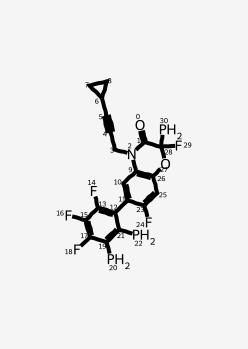 O=C1N(CC#CC2CC2)c2cc(-c3c(F)c(F)c(F)c(P)c3P)c(F)cc2OC1(F)P